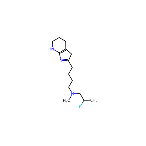 CC(F)CN(C)CCCCC1=NC2=C(CCCN2)C1